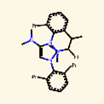 CCC(C(C)c1cccc(C(C)C)c1N1CN(c2c(C(C)C)cccc2C(C)C)C=C1N(C)C)N(C)C